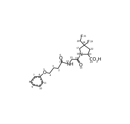 O=C(CCCOc1ccccc1)NCC(=O)N1CC(F)(CF)CC1C(=O)O